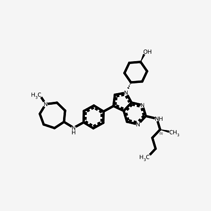 CCC[C@H](C)Nc1ncc2c(-c3ccc(NC4CCCN(C)CC4)cc3)cn([C@H]3CC[C@H](O)CC3)c2n1